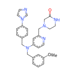 COc1cccc(CN(Cc2ccc(-n3ccnc3)cc2)c2ccnc(CN3CCNC(=O)C3)c2)c1